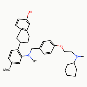 COc1ccc(C2CCc3cc(O)ccc3C2)c(N(Cc2ccc(OCCN(C)C3CCCCC3)cc2)C(C)C)c1